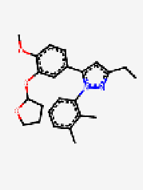 CCc1cc(-c2ccc(OC)c(OC3CCCO3)c2)n(-c2cccc(C)c2C)n1